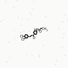 C=CC(=O)Nc1ccc(C(=O)C=Cc2ccc(Cl)c(Cl)c2)cc1